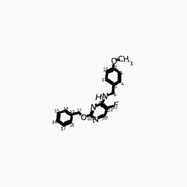 COc1ccc(CNc2nc(OCc3ccccc3)ncc2F)cc1